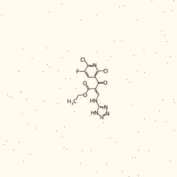 CCOC(=O)/C(=C\Nc1nnn[nH]1)C(=O)c1cc(F)c(Cl)nc1Cl